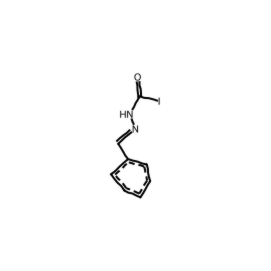 O=C(I)N/N=C/c1ccccc1